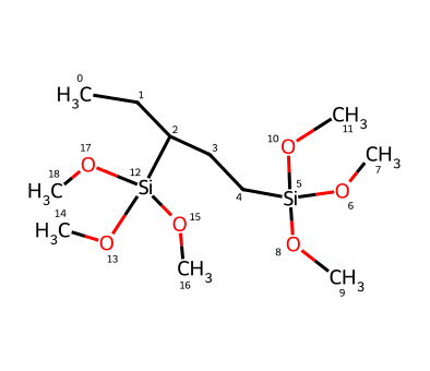 CCC(CC[Si](OC)(OC)OC)[Si](OC)(OC)OC